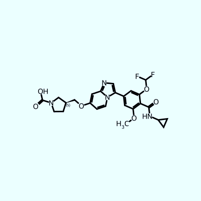 COc1cc(-c2cnc3cc(OC[C@H]4CCN(C(=O)O)C4)ccn23)cc(OC(F)F)c1C(=O)NC1CC1